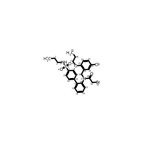 CCCNS(=O)(=O)c1ccc(-c2ccccc2N(Cc2cc(Cl)ccc2OCCC)C(=O)CBr)cc1